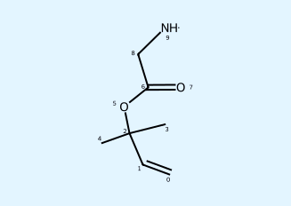 C=CC(C)(C)OC(=O)C[NH]